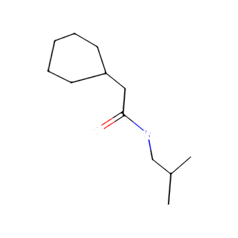 CC(C)C[N]C(=O)CC1CCCCC1